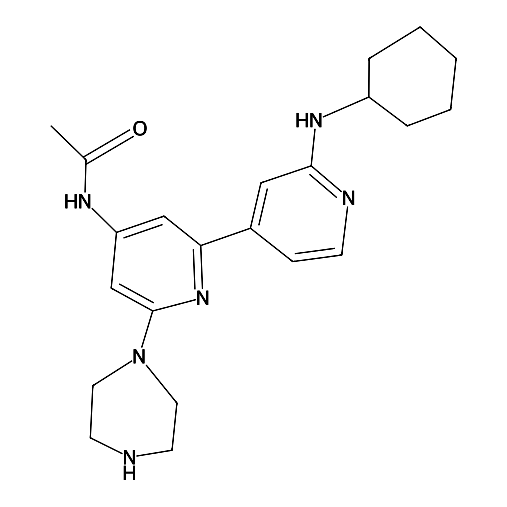 CC(=O)Nc1cc(-c2ccnc(NC3CCCCC3)c2)nc(N2CCNCC2)c1